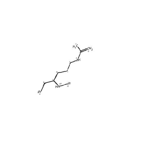 C=C(C)NCCCC(CC(C)C)NC(C)C